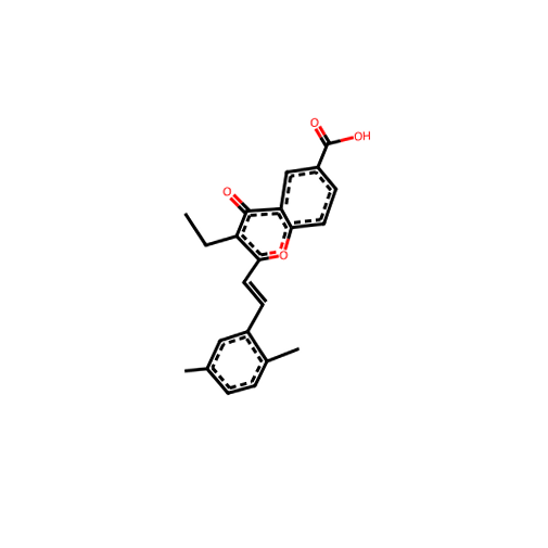 CCc1c(/C=C/c2cc(C)ccc2C)oc2ccc(C(=O)O)cc2c1=O